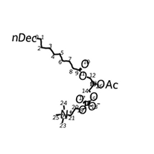 CCCCCCCCCCCCCCCCCCC(=O)OC[C@H](COP(=O)([O-])OCC[N+](C)(C)C)OC(C)=O